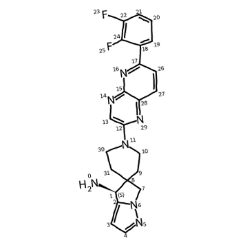 N[C@@H]1c2ccnn2CC12CCN(c1cnc3nc(-c4cccc(F)c4F)ccc3n1)CC2